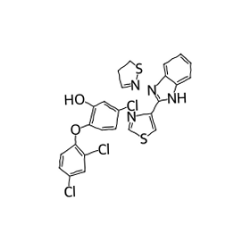 C1=NSCC1.Oc1cc(Cl)ccc1Oc1ccc(Cl)cc1Cl.c1ccc2[nH]c(-c3cscn3)nc2c1